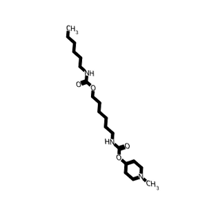 CCCCCCNC(=O)OCCCCCCNC(=O)OC1CCN(C)CC1